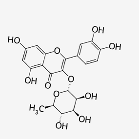 C[C@H]1O[C@H](Oc2c(-c3ccc(O)c(O)c3)oc3cc(O)cc(O)c3c2=O)[C@@H](O)[C@@H](O)[C@@H]1O